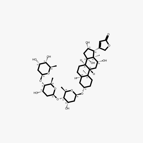 C[C@H]1O[C@@H](O[C@H]2[C@@H](O)C[C@H](O[C@H]3[C@@H](O)C[C@H](O[C@H]4CC[C@@]5(C)[C@H](CC[C@@H]6[C@@H]5C[C@@H](O)[C@]5(C)[C@@H](C7=CC(=O)OC7)[C@@H](O)C[C@]65O)C4)O[C@@H]3C)O[C@@H]2C)C[C@H](O)[C@@H]1O